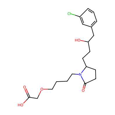 O=C(O)COCCCCN1C(=O)CCC1CCC(O)Cc1cccc(Cl)c1